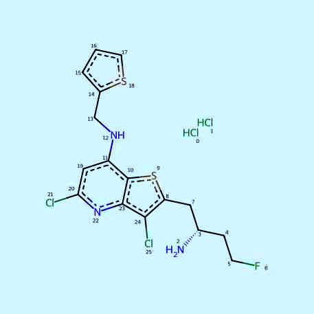 Cl.Cl.N[C@@H](CCF)Cc1sc2c(NCc3cccs3)cc(Cl)nc2c1Cl